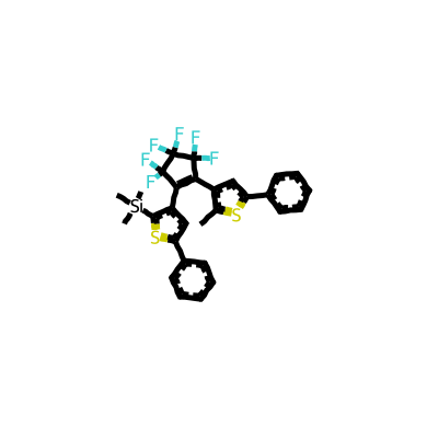 Cc1sc(-c2ccccc2)cc1C1=C(c2cc(-c3ccccc3)sc2[Si](C)(C)C)C(F)(F)C(F)(F)C1(F)F